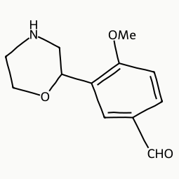 COc1ccc(C=O)cc1C1CNCCO1